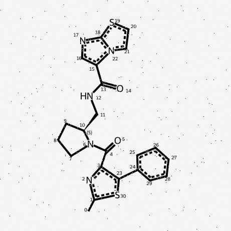 Cc1nc(C(=O)N2CCC[C@H]2CNC(=O)c2cnc3sccn23)c(-c2ccccc2)s1